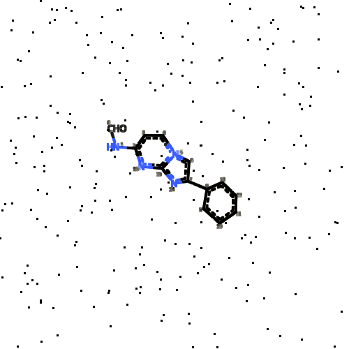 O=CNc1ccn2cc(-c3ccccc3)nc2n1